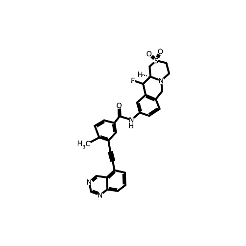 Cc1ccc(C(=O)Nc2ccc3c(c2)C(F)[C@H]2CS(=O)(=O)CCN2C3)cc1C#Cc1cccc2ncncc12